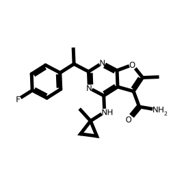 Cc1oc2nc(C(C)c3ccc(F)cc3)nc(NC3(C)CC3)c2c1C(N)=O